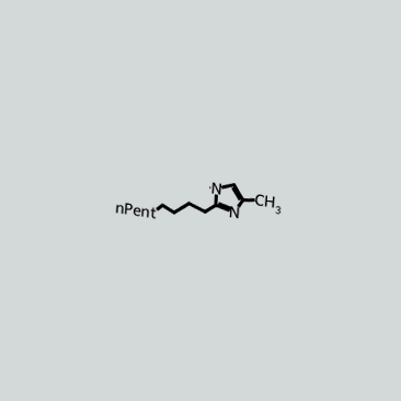 CCCCCCCCCC1=NC(C)=C[N]1